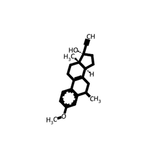 C#C[C@@]1(O)CC[C@H]2C3=C(CC[C@@]21C)c1ccc(OC)cc1C(C)C3